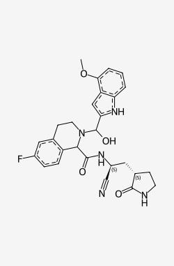 COc1cccc2[nH]c(C(O)N3CCc4cc(F)ccc4C3C(=O)N[C@H](C#N)C[C@@H]3CCNC3=O)cc12